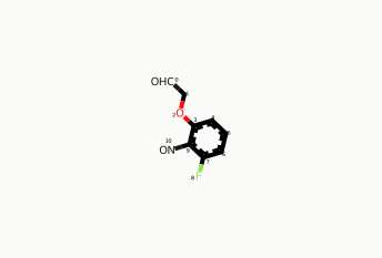 O=CCOc1cccc(F)c1N=O